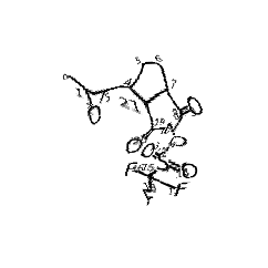 CC1OC1C1CCC2C(=O)N(OS(=O)(=O)C(F)(F)F)C(=O)C21